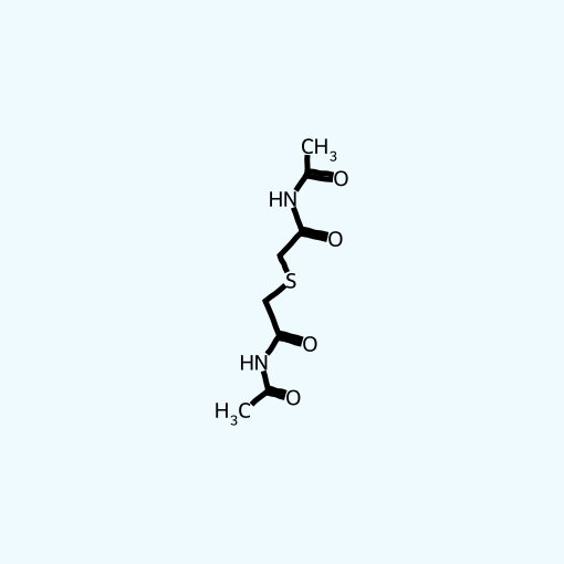 CC(=O)NC(=O)CSCC(=O)NC(C)=O